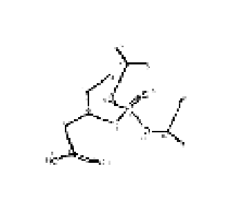 CCC(CC(=O)O)SP(=S)(OC(C)C)OC(C)C